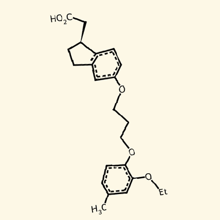 CCOc1cc(C)ccc1OCCCOc1ccc2c(c1)CC[C@H]2CC(=O)O